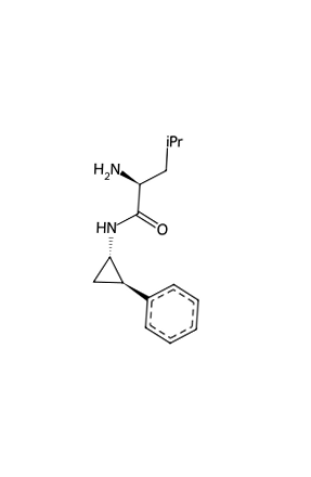 CC(C)C[C@H](N)C(=O)N[C@H]1C[C@@H]1c1ccccc1